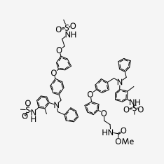 COC(=O)NCCOc1cccc(Oc2ccc(CN(Cc3ccccc3)c3cccc(NS(C)(=O)=O)c3C)cc2)c1.Cc1c(NS(C)(=O)=O)cccc1N(Cc1ccccc1)Cc1ccc(Oc2cccc(OCCNS(C)(=O)=O)c2)cc1